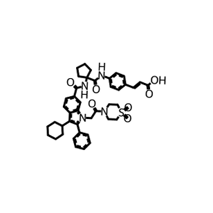 O=C(O)/C=C/c1ccc(NC(=O)C2(NC(=O)c3ccc4c(C5CCCCC5)c(-c5ccccc5)n(CC(=O)N5CCS(=O)(=O)CC5)c4c3)CCCC2)cc1